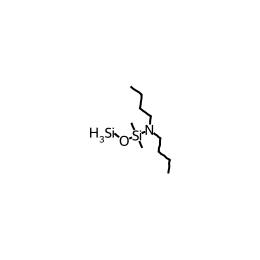 CCCCN(CCCC)[Si](C)(C)O[SiH3]